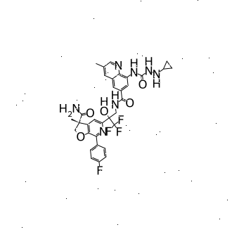 Cc1cnc2c(NC(=O)NNC3CC3)cc(C(=O)NCC(O)(c3cc4c(c(-c5ccc(F)cc5)n3)OC[C@]4(C)C(N)=O)C(F)(F)F)cc2c1